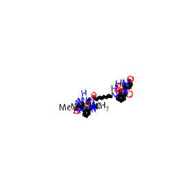 CNC(=O)c1nnc(NC(=O)CNC(=O)CCCCCCCNc2cccc3c2C(=O)N(C2CCC(=O)NC2=O)C3=O)cc1Nc1cccc(-c2ncn(C)n2)c1OC